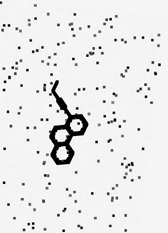 CCC#Cc1cccc2c1ccc1ccccc12